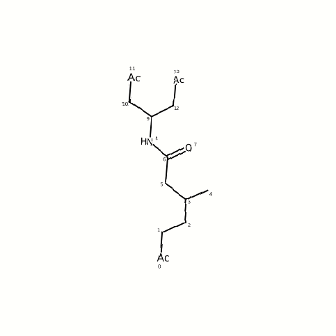 CC(=O)CCC(C)CC(=O)NC(CC(C)=O)CC(C)=O